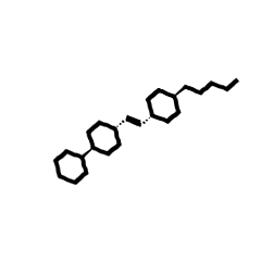 CCCCC[C@H]1CC[C@H](C=C[C@H]2CC[C@H](C3CCCCC3)CC2)CC1